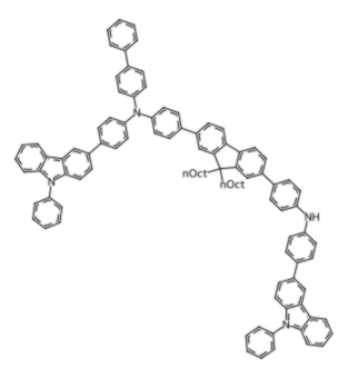 CCCCCCCCC1(CCCCCCCC)c2cc(-c3ccc(Nc4ccc(-c5ccc6c(c5)c5ccccc5n6-c5ccccc5)cc4)cc3)ccc2-c2ccc(-c3ccc(N(c4ccc(-c5ccccc5)cc4)c4ccc(-c5ccc6c(c5)c5ccccc5n6-c5ccccc5)cc4)cc3)cc21